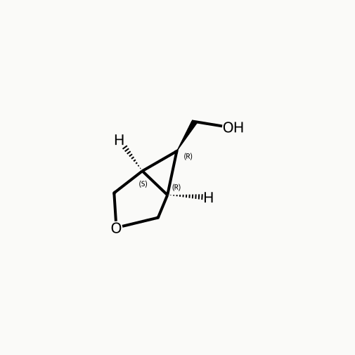 OC[C@H]1[C@H]2COC[C@@H]12